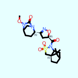 CON1C(=O)N2CC1CC[C@H]2C1=NO[C@@H](C(=O)N2C3CC4CC[C@]3(CS2(=O)=O)C4(C)C)C1